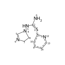 NC(=S)NN1C=NCC1.c1ccncc1